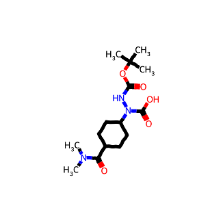 CN(C)C(=O)C1CCC(N(NC(=O)OC(C)(C)C)C(=O)O)CC1